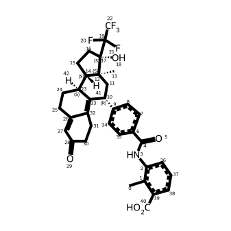 Cc1c(NC(=O)c2ccc([C@H]3C[C@@]4(C)[C@@H](CC[C@@]4(O)C(F)(F)C(F)(F)F)[C@@H]4CCC5=CC(=O)CCC5=C43)cc2)cccc1C(=O)O